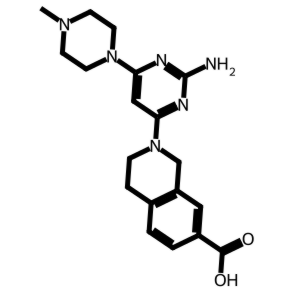 CN1CCN(c2cc(N3CCc4ccc(C(=O)O)cc4C3)nc(N)n2)CC1